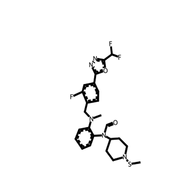 CSN1CCC(N(C=O)c2ccccc2N(C)Cc2ccc(-c3nnc(C(F)F)o3)cc2F)CC1